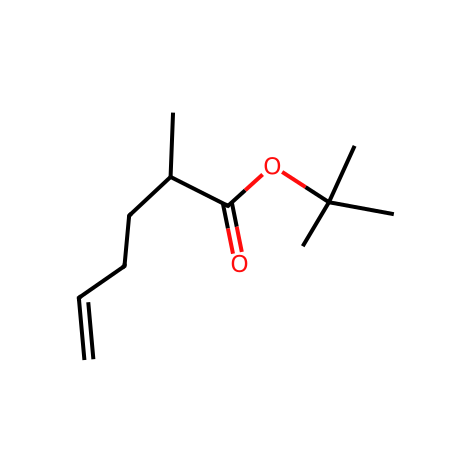 C=CCCC(C)C(=O)OC(C)(C)C